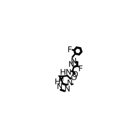 CN1C(=O)C(NC(=O)c2nn(Cc3ccccc3F)cc2F)C2C[C@H]2c2nccnc21